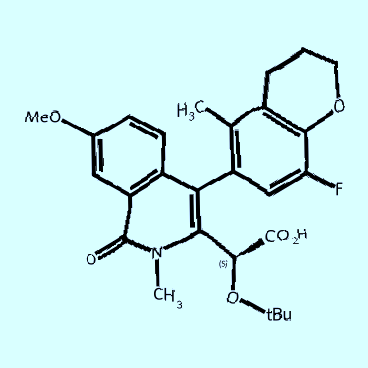 COc1ccc2c(-c3cc(F)c4c(c3C)CCCO4)c([C@H](OC(C)(C)C)C(=O)O)n(C)c(=O)c2c1